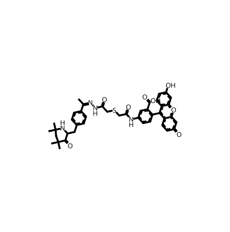 CC(=NNC(=O)CSCC(=O)Nc1ccc(-c2c3ccc(=O)cc-3oc3cc(O)ccc23)c(C(=O)O)c1)c1ccc(CC(NC(C)(C)C)C(=O)C(C)(C)C)cc1